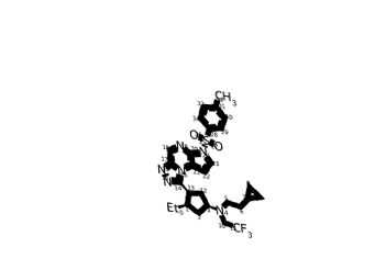 CC[C@@H]1C[C@H](N(CCC2CC2)CC(F)(F)F)C[C@@H]1c1nnc2cnc3c(ccn3S(=O)(=O)c3ccc(C)cc3)n12